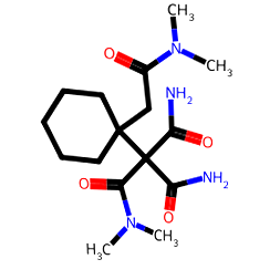 CN(C)C(=O)CC1(C(C(N)=O)(C(N)=O)C(=O)N(C)C)CCCCC1